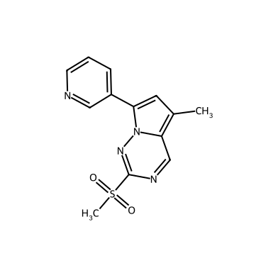 Cc1cc(-c2cccnc2)n2nc(S(C)(=O)=O)ncc12